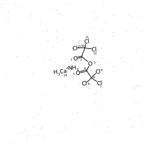 N.O=C(OC(=O)C(Cl)(Cl)Cl)C(Cl)(Cl)Cl.[CaH2]